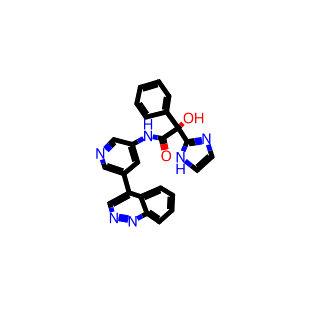 O=C(Nc1cncc(-c2cnnc3ccccc23)c1)C(O)(c1ccccc1)c1ncc[nH]1